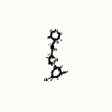 Cc1cc(C#N)cc(-n2ccc(C#Cc3ccncc3)n2)c1